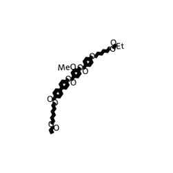 C=CC(=O)OCCCCCCOC(=O)c1ccc(-c2ccc(OC(=O)c3ccc(OC(=O)c4ccc(OCCCCCCOC(=O)CC)cc4)c(OC)c3)cc2)cc1